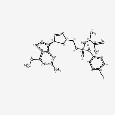 COc1nc(N)nc2c1ncn2[C@H]1C=C[C@@H](COP(=O)(N[C@@H](C)C(=O)O)Oc2ccc(I)cc2)C1